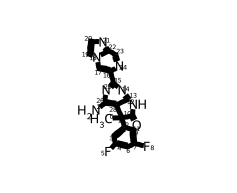 CC1(c2cc(F)cc(F)c2)C(=O)Nc2nc(-c3cn4ccnc4cn3)nc(N)c21